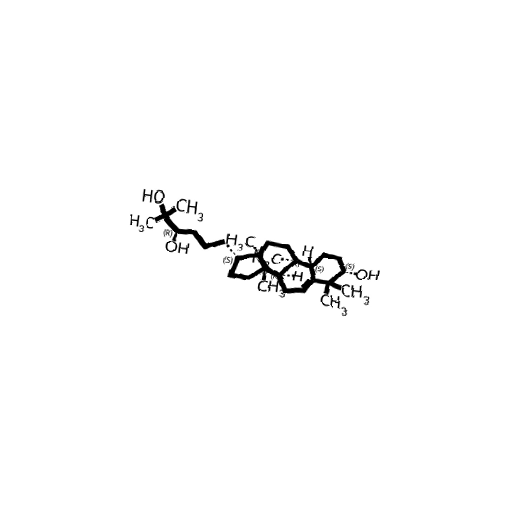 CC(C)(O)[C@H](O)CCC[C@H]1CC[C@@]2(C)[C@@H]3CC=C4[C@@H](CC[C@H](O)C4(C)C)[C@]3(C)CC[C@]12C